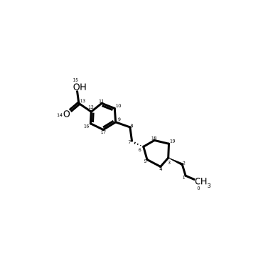 CCC[C@H]1CC[C@H](CCc2ccc(C(=O)O)cc2)CC1